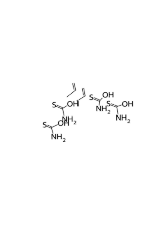 C=CC.C=CC.NC(O)=S.NC(O)=S.NC(O)=S.NC(O)=S